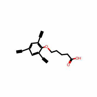 C#Cc1cc(C#C)c(OCCCCC(=O)O)c(C#C)c1